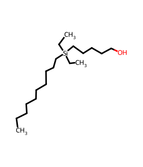 CCCCCCCCCC[Si](CC)(CC)CCCCCO